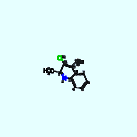 Cc1nc2ccccc2c(C(C)(C)C)c1Cl